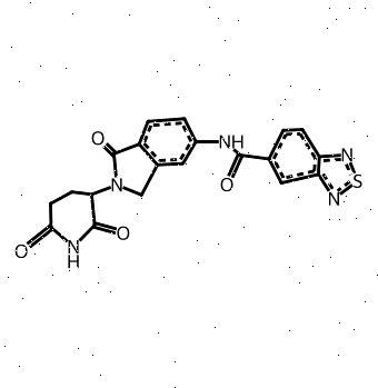 O=C1CCC(N2Cc3cc(NC(=O)c4ccc5nsnc5c4)ccc3C2=O)C(=O)N1